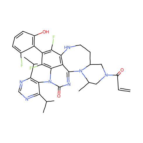 C=CC(=O)N1CC(C)N2c3nc(=O)n(-c4c(C(C)C)ncnc4C(C)C)c4c(F)c(-c5c(O)cccc5F)c(F)c(c34)NCCC2C1